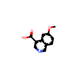 COc1ccc2cncc(C(=O)O)c2c1